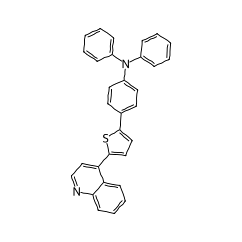 c1ccc(N(c2ccccc2)c2ccc(-c3ccc(-c4ccnc5ccccc45)s3)cc2)cc1